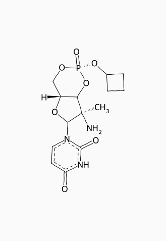 C[C@@]1(N)C2O[P@@](=O)(OC3CCC3)OC[C@H]2OC1n1ccc(=O)[nH]c1=O